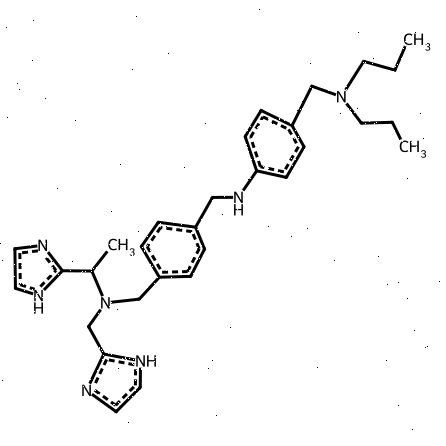 CCCN(CCC)Cc1ccc(NCc2ccc(CN(Cc3ncc[nH]3)C(C)c3ncc[nH]3)cc2)cc1